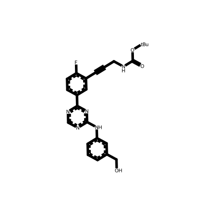 CC(C)(C)OC(=O)NCC#Cc1cc(-c2ncnc(Nc3cccc(CO)c3)n2)ccc1F